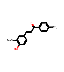 COc1cc(/C=C/C(=O)c2ccc(C(F)(F)F)cc2)ccc1O